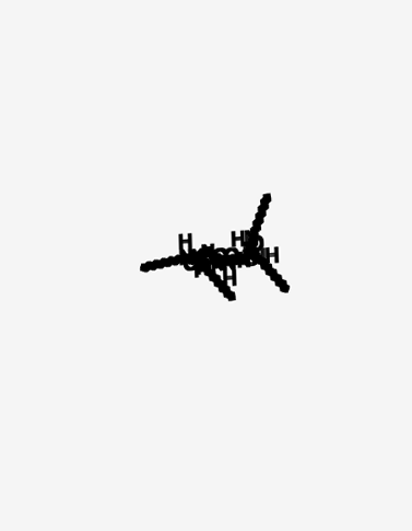 CCCCCCCCCCCCNC(=O)CN(CCN(C)CCC(=O)NCCN(C)C(=O)CCN(C)CCN(CC(=O)NCCCCCCCCCCCC)CC(=O)N(F)CCCCCCCCCCCC)CC(=O)NCCCCCCCCCCCC